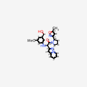 COc1cc(CO)cc(NC(C(=O)N2CCCC2c2cc(C)on2)c2cc3ccccn3n2)c1